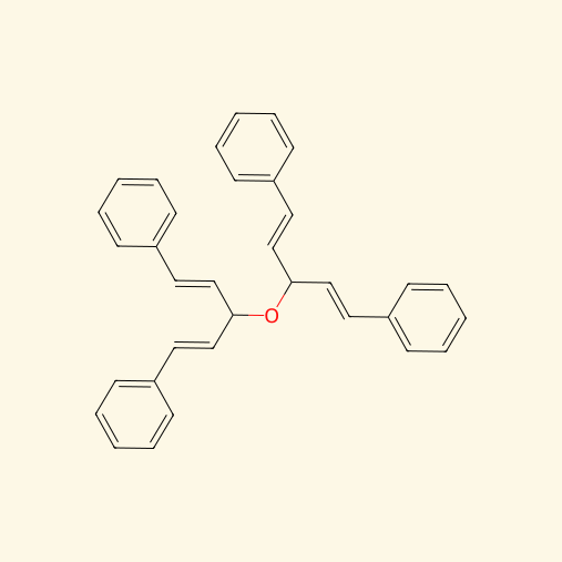 C(=CC(C=Cc1ccccc1)OC(C=Cc1ccccc1)C=Cc1ccccc1)c1ccccc1